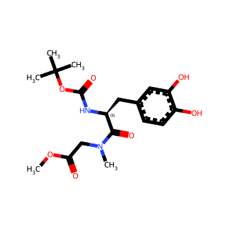 COC(=O)CN(C)C(=O)[C@H](Cc1ccc(O)c(O)c1)NC(=O)OC(C)(C)C